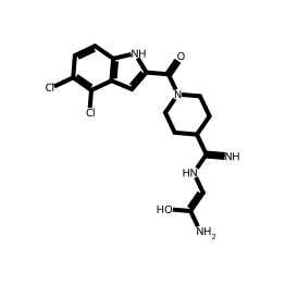 N=C(N/C=C(/N)O)C1CCN(C(=O)c2cc3c(Cl)c(Cl)ccc3[nH]2)CC1